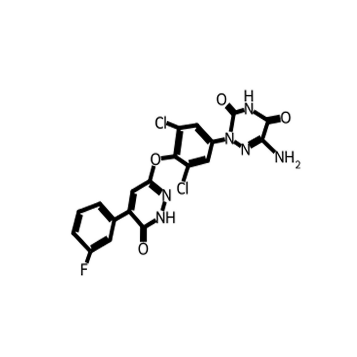 Nc1nn(-c2cc(Cl)c(Oc3cc(-c4cccc(F)c4)c(=O)[nH]n3)c(Cl)c2)c(=O)[nH]c1=O